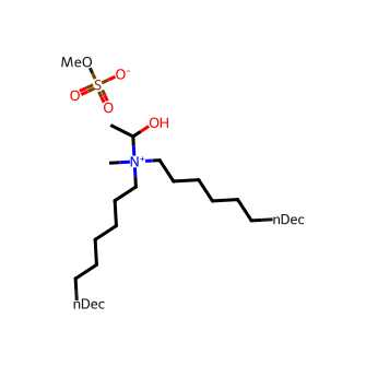 CCCCCCCCCCCCCCCC[N+](C)(CCCCCCCCCCCCCCCC)C(C)O.COS(=O)(=O)[O-]